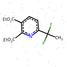 CCOC(=O)c1ccc(C(C)(F)F)nc1C(=O)OCC